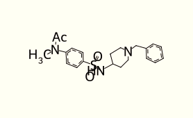 CC(=O)N(C)c1ccc(S(=O)(=O)NC2CCN(Cc3ccccc3)CC2)cc1